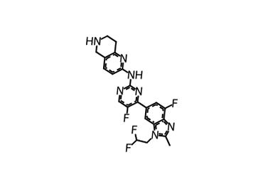 Cc1nc2c(F)cc(-c3nc(Nc4ccc5c(n4)CCNC5)ncc3F)cc2n1CC(F)F